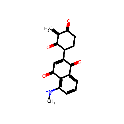 C=C1C(=O)CCC(C2=CC(=O)c3c(NC)cccc3C2=O)C1=O